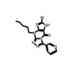 CCCCCn1c2nc(Br)[nH]c2c(=O)n2c(-c3cccnc3)nnc12